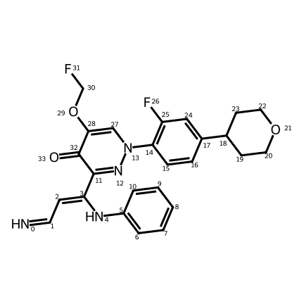 N=C/C=C(\Nc1ccccc1)c1nn(-c2ccc(C3CCOCC3)cc2F)cc(OCF)c1=O